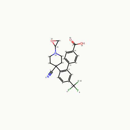 N#CC1(c2ccc(C(F)(F)F)cc2-c2ccc(C(=O)O)cc2)CCN(C2CO2)CC1